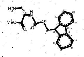 COC(=O)[C@H](CN)NC(=O)OCC1c2ccccc2-c2ccccc21